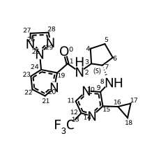 O=C(NC1CCC[C@@H]1Nc1ncc(C(F)(F)F)nc1C1CC1)c1ncccc1-n1nccn1